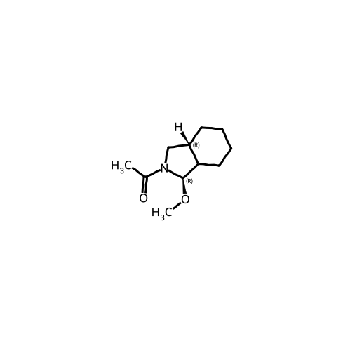 CO[C@@H]1C2CCCC[C@H]2CN1C(C)=O